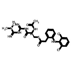 CC(=O)N[C@@H](CSC(=O)Cc1ccccc1Nc1c(Cl)cccc1Cl)C(=O)NC(=N)NC(=N)N(C)C